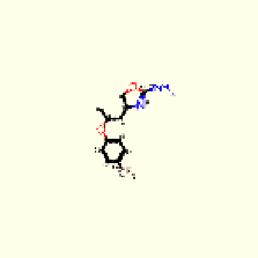 CC(CC1COC(N)=N1)Oc1ccc(C(F)(F)F)cc1